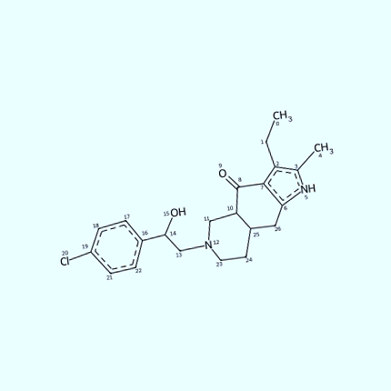 CCc1c(C)[nH]c2c1C(=O)C1CN(CC(O)c3ccc(Cl)cc3)CCC1C2